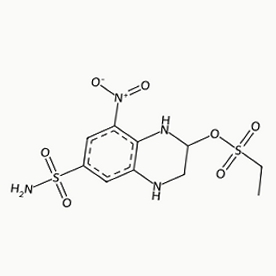 CCS(=O)(=O)OC1CNc2cc(S(N)(=O)=O)cc([N+](=O)[O-])c2N1